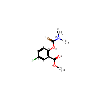 COC(=O)c1cc(F)ccc1OC(=S)N(C)C